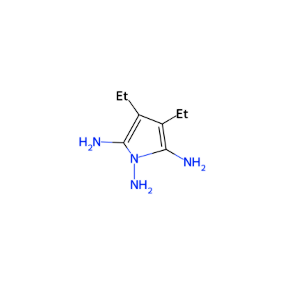 CCc1c(CC)c(N)n(N)c1N